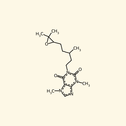 CC(CCC1OC1(C)C)CCn1c(=O)c2c(ncn2C)n(C)c1=O